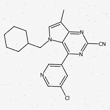 Cc1cn(CC2CCCCC2)c2c(-c3cncc(Cl)c3)nc(C#N)nc12